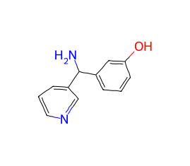 NC(c1cccnc1)c1cccc(O)c1